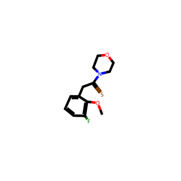 COc1c(F)cccc1CC(=S)N1CCOCC1